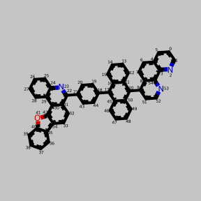 c1cnc2c(c1)ccc1c(-c3c4ccccc4c(-c4ccc(-c5nc6ccccc6c6c5ccc5c7ccccc7oc56)cc4)c4ccccc34)ccnc12